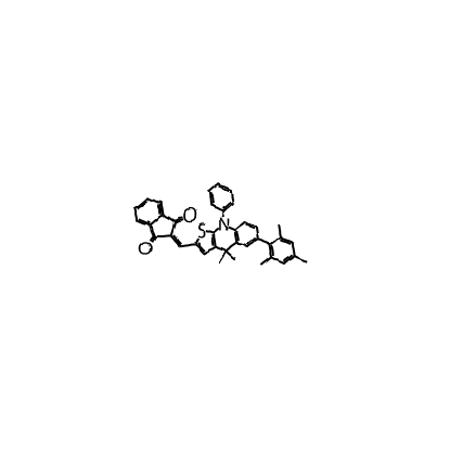 Cc1cc(C)c(-c2ccc3c(c2)C(C)(C)c2cc(C=C4C(=O)c5ccccc5C4=O)sc2N3c2ccccc2)c(C)c1